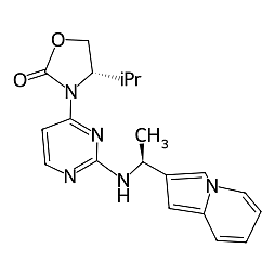 CC(C)[C@H]1COC(=O)N1c1ccnc(N[C@@H](C)c2cc3ccccn3c2)n1